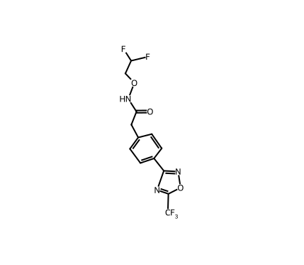 O=C(Cc1ccc(-c2noc(C(F)(F)F)n2)cc1)NOCC(F)F